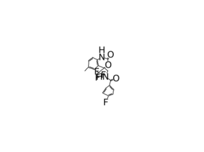 Cc1ccc2c(c1)C(CNC(=O)c1ccc(F)cc1)(C(F)(F)F)OC(=O)N2